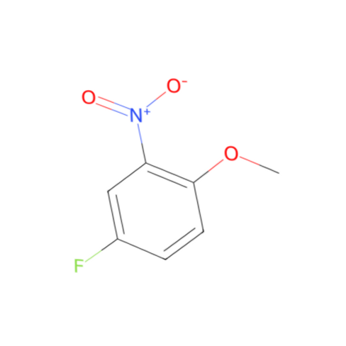 COc1ccc(F)cc1[N+](=O)[O-]